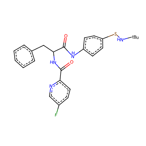 CC(C)(C)NSc1ccc(NC(=O)C(Cc2ccccc2)NC(=O)c2ccc(F)cn2)cc1